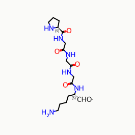 NCCCC[C@@H]([C]=O)NC(=O)CNC(=O)CNC(=O)CNC(=O)[C@@H]1CCCN1